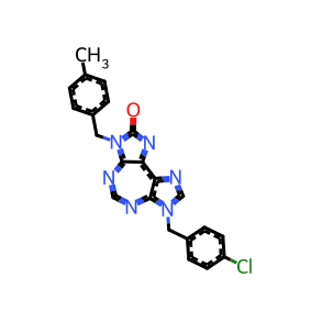 Cc1ccc(Cn2c3ncnc4c(ncn4Cc4ccc(Cl)cc4)c-3nc2=O)cc1